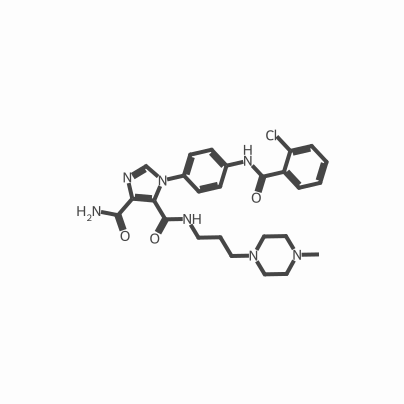 CN1CCN(CCCNC(=O)c2c(C(N)=O)ncn2-c2ccc(NC(=O)c3ccccc3Cl)cc2)CC1